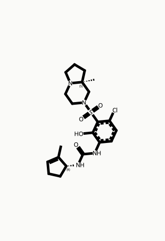 CC1=CCC[C@H]1NC(=O)Nc1ccc(Cl)c(S(=O)(=O)N2CCN3CCC[C@@]3(C)C2)c1O